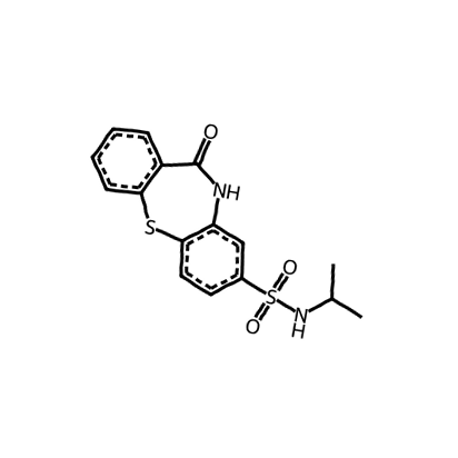 CC(C)NS(=O)(=O)c1ccc2c(c1)NC(=O)c1ccccc1S2